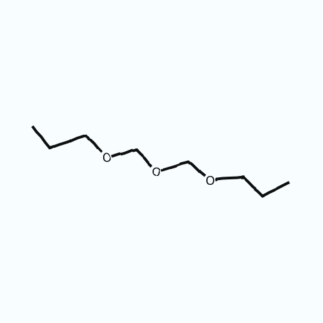 CCCOCOCOCCC